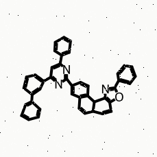 C1=CC2C=Cc3oc(-c4ccccc4)nc3C2c2ccc(-c3nc(-c4ccccc4)cc(-c4cccc(-c5ccccc5)c4)n3)cc21